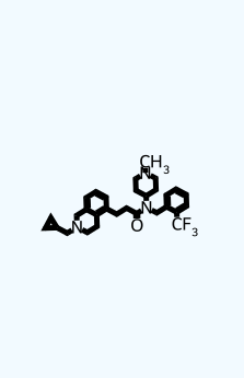 CN1CCC(N(Cc2ccccc2C(F)(F)F)C(=O)CCc2cccc3c2CCN(CC2CC2)C3)CC1